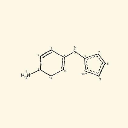 NC1C=CC(Sc2cccs2)=CC1